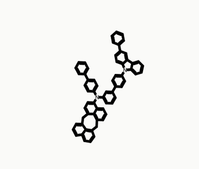 c1ccc(-c2ccc(N(c3cccc(-c4ccc(-n5c6ccccc6c6cc(-c7ccccc7)ccc65)cc4)c3)c3ccc4c5c(cccc35)Cc3cccc5cccc(c35)C4)cc2)cc1